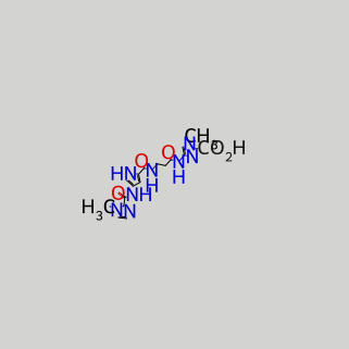 Cn1cc(NC(=O)CCNC(=O)c2cc(NC(=O)c3nccn3C)c[nH]2)nc1C(=O)O